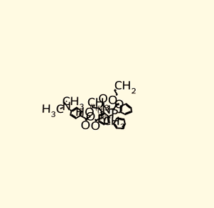 C=CCOC(=O)C(N1C(=O)[C@H]([C@@H](C)O)[C@H]1[C@@H](C)C(=O)OC(=O)c1ccc(N(C)C)cc1)=P(c1ccccc1)(c1ccccc1)c1ccccc1